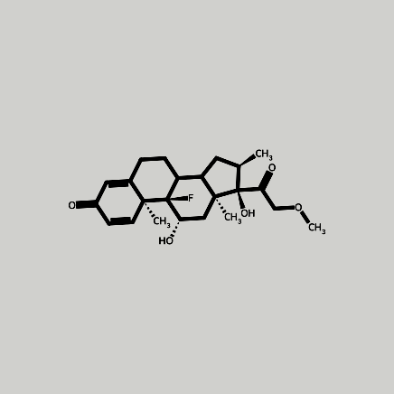 COCC(=O)[C@@]1(O)[C@H](C)CC2C3CCC4=CC(=O)C=C[C@]4(C)[C@@]3(F)[C@@H](O)C[C@@]21C